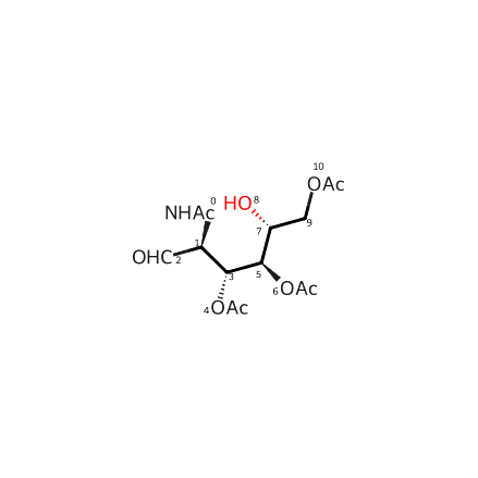 CC(=O)N[C@H](C=O)[C@@H](OC(C)=O)[C@H](OC(C)=O)[C@H](O)COC(C)=O